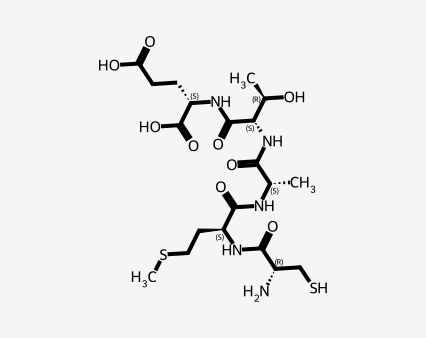 CSCC[C@H](NC(=O)[C@@H](N)CS)C(=O)N[C@@H](C)C(=O)N[C@H](C(=O)N[C@@H](CCC(=O)O)C(=O)O)[C@@H](C)O